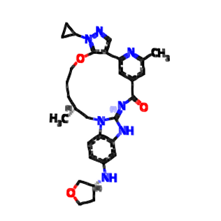 Cc1cc2cc(n1)-c1cnn(C3CC3)c1OCCC[C@@H](C)CN1/C(=N/C2=O)Nc2cc(N[C@@H]3CCOC3)ccc21